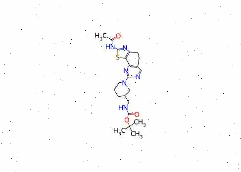 CC(=O)Nc1nc2c(s1)-c1nc(N3CCCC(CNC(=O)OC(C)(C)C)C3)ncc1CC2